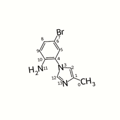 Cc1cn(-c2cc(Br)ccc2N)cn1